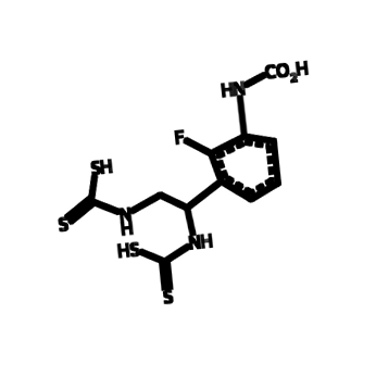 O=C(O)Nc1cccc(C(CNC(=S)S)NC(=S)S)c1F